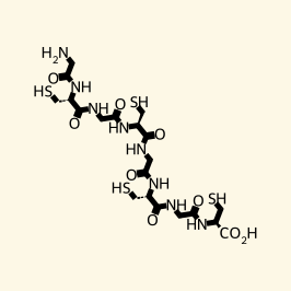 NCC(=O)N[C@@H](CS)C(=O)NCC(=O)N[C@@H](CS)C(=O)NCC(=O)N[C@@H](CS)C(=O)NCC(=O)N[C@@H](CS)C(=O)O